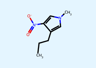 CCCc1cn(C)cc1[N+](=O)[O-]